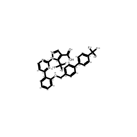 O=C(O)c1cnn(-c2nccc(-c3ccccc3OCc3ccc(-c4ccc(C(F)(F)F)cc4)cc3)n2)c1C(F)(F)F